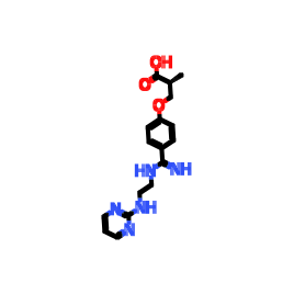 C[C@@H](COc1ccc(C(=N)NCCNc2ncccn2)cc1)C(=O)O